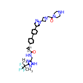 CC(C)(c1n[nH]c(CNC(=O)[C@H]2C[C@@H]2c2ccc(-c3ccc(-c4cnn(C5CN(CC(=O)N6CCNCC6)C5)c4)cc3)cc2)n1)C(F)(F)F